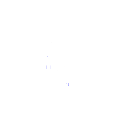 CN1C2C[CH]CC1(C(=O)NN1CC(C)(C)c3ccccc31)CN(Cc1ccccc1)C2